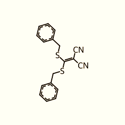 N#CC(C#N)=C(SCc1ccccc1)SCc1ccccc1